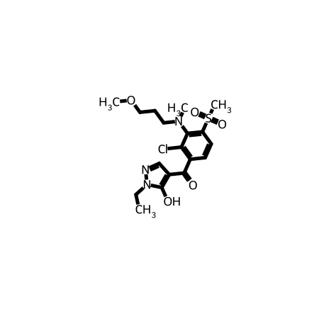 CCn1ncc(C(=O)c2ccc(S(C)(=O)=O)c(N(C)CCCOC)c2Cl)c1O